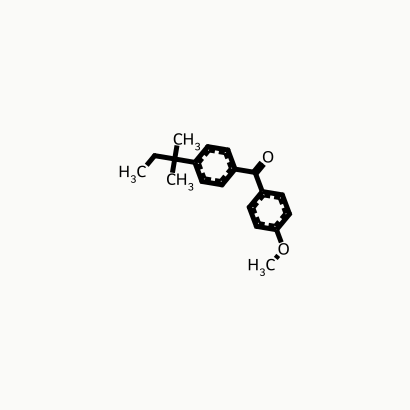 CCC(C)(C)c1ccc(C(=O)c2ccc(OC)cc2)cc1